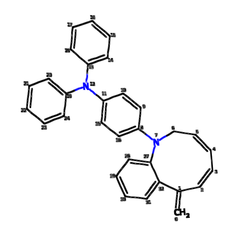 C=C1/C=C\C=C/CN(c2ccc(N(c3ccccc3)c3ccccc3)cc2)c2ccccc21